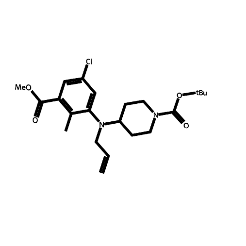 C=CCN(c1cc(Cl)cc(C(=O)OC)c1C)C1CCN(C(=O)OC(C)(C)C)CC1